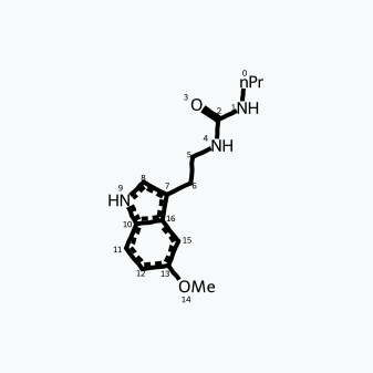 CCCNC(=O)NCCc1c[nH]c2ccc(OC)cc12